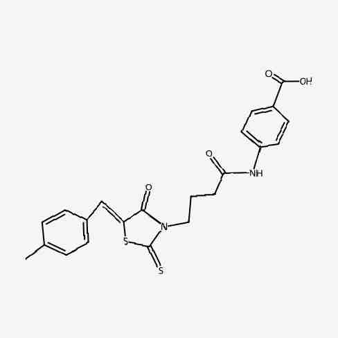 Cc1ccc(/C=C2\SC(=S)N(CCCC(=O)Nc3ccc(C(=O)O)cc3)C2=O)cc1